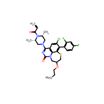 C=CC(=O)N1[C@H](C)CN(c2nc(=O)n3c4c(c(-c5ccc(F)cc5F)c(Cl)cc24)SCC(OCCOC)C3)C[C@@H]1C